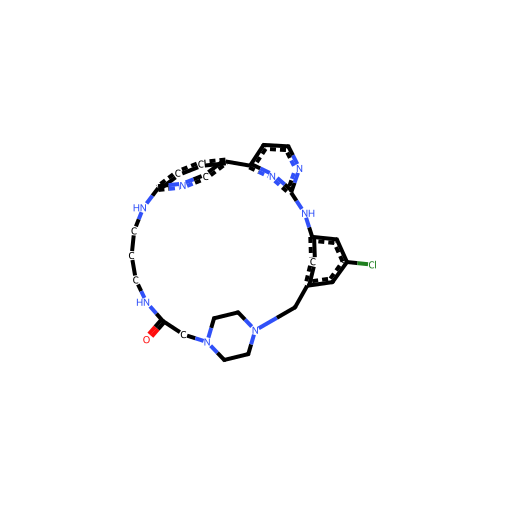 O=C1CN2CCN(CC2)Cc2cc(Cl)cc(c2)Nc2nccc(n2)-c2ccc(nc2)NCCCN1